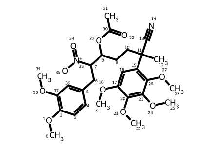 COc1ccc(CC(C(CCC(C)(C#N)c2cc(OC)c(OC)c(OC)c2OC)OC(C)=O)[N+](=O)[O-])cc1OC